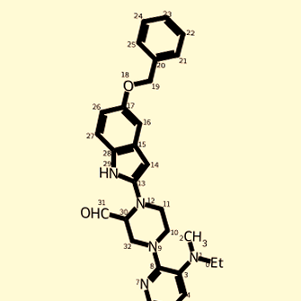 CCN(C)c1cccnc1N1CCN(c2cc3cc(OCc4ccccc4)ccc3[nH]2)C(C=O)C1